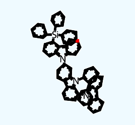 c1ccc(-c2ccccc2-n2c3cc(-n4c5ccccc5c5c([Si](c6ccccc6)(c6ccccc6)c6ccccc6)cccc54)ccc3c3cccc(-n4c5ccccc5c5ccccc54)c32)cc1